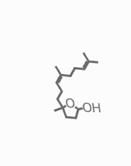 CC(C)=CCCC(C)=CCCC1(C)CCC(O)O1